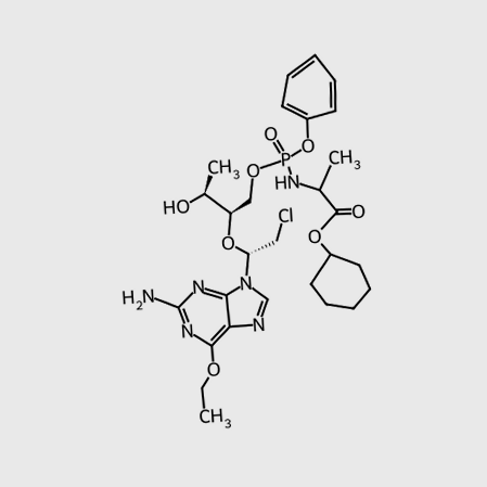 CCOc1nc(N)nc2c1ncn2[C@@H](CCl)O[C@H](COP(=O)(NC(C)C(=O)OC1CCCCC1)Oc1ccccc1)[C@H](C)O